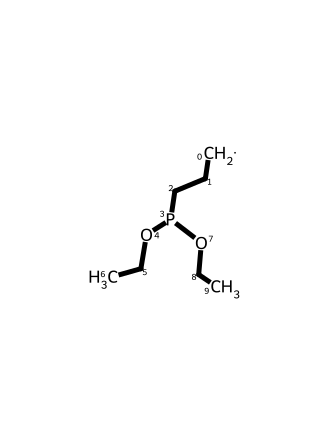 [CH2]CCP(OCC)OCC